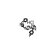 Cl.Fc1ccc(-c2nccnc2N2CCN(Cc3cnn(Cc4ccccc4)c3)CC2)cc1